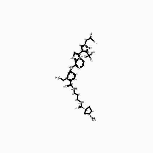 CCc1cc(Nc2nccn3c(-c4cn(CC(F)F)nc4C(F)(F)F)cnc23)ccc1C(=O)NCCCNC(=O)[C@H]1CC[C@@H](N)C1